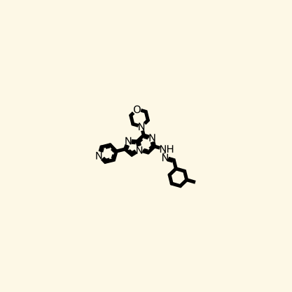 CC1CCCC(/C=N/Nc2cn3cc(-c4ccncc4)nc3c(N3CCOCC3)n2)C1